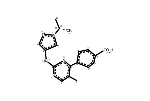 Cc1cnc(Nc2cnn([C@H](C)C(F)(F)F)c2)nc1-c1ccc(C(=O)O)cc1